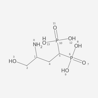 NC(CO)CC(P(=O)(O)O)P(=O)(O)O